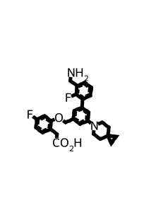 NCc1cccc(-c2cc(COc3cc(F)ccc3CC(=O)O)cc(N3CCC4(CC3)CC4)c2)c1F